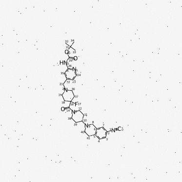 [C-]#[N+]c1ccc2c(c1)CN(C1CCN(C(=O)C3(F)CCN(Cc4ccnc(NC(=O)OC(C)(C)C)c4)CC3)CC1)CC2